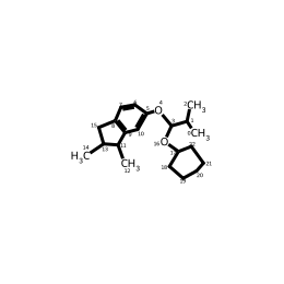 CC(C)C(Oc1ccc2c(c1)C(C)C(C)C2)OC1CCCCC1